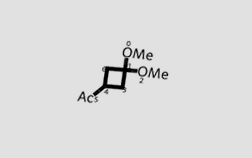 COC1(OC)CC(C(C)=O)C1